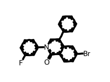 O=c1c2ccc(Br)cc2c(-c2ccccc2)cn1-c1cccc(F)c1